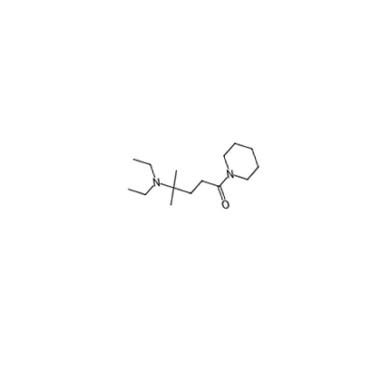 CCN(CC)C(C)(C)CCC(=O)N1CCCCC1